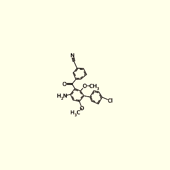 COc1cc(N)c(C(=O)c2cccc(C#N)c2)c(OC)c1-c1ccc(Cl)cc1